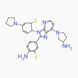 Nc1ccc(-c2nc3c(N4CCC(N)C4)ccnc3n2C2C=CC(N3CCCC3)=CC2F)cc1F